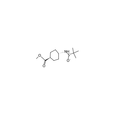 COC(=O)[C@H]1CC[C@H](N[S+]([O-])C(C)(C)C)CC1